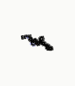 C=C1/C=C\C=C/N(c2ccc(/C(C)=C/C=C\CC)cc2)c2cccc(-c3cccc(N(C4=CCCCCC4)c4ccc(-c5ccc6c(ccc7ccccc76)c5)cc4)c3)c21